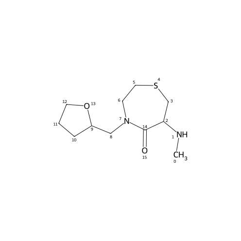 CNC1CSCCN(CC2CCCO2)C1=O